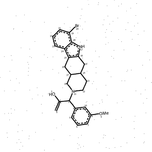 C=C(O)C(c1cccc(OC)c1)N1CCC2Cc3[nH]c4c(Br)cccc4c3CC2C1